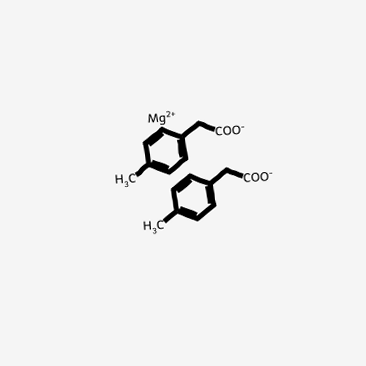 Cc1ccc(CC(=O)[O-])cc1.Cc1ccc(CC(=O)[O-])cc1.[Mg+2]